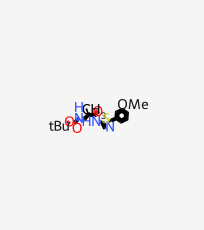 COc1cccc(-c2ncc(NC(=O)[C@H](C)CNC(=O)OC(C)(C)C)s2)c1